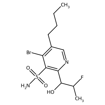 CCCCc1cnc(C(O)C(C)F)c(S(N)(=O)=O)c1Br